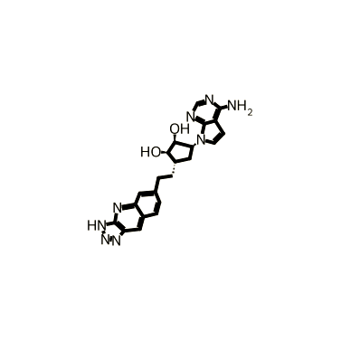 Nc1ncnc2c1ccn2[C@@H]1C[C@H](CCc2ccc3cc4nn[nH]c4nc3c2)[C@@H](O)[C@H]1O